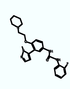 Cn1nccc1-c1cc(NC(=O)Nc2ccccc2F)ccc1OCCN1CCCCC1